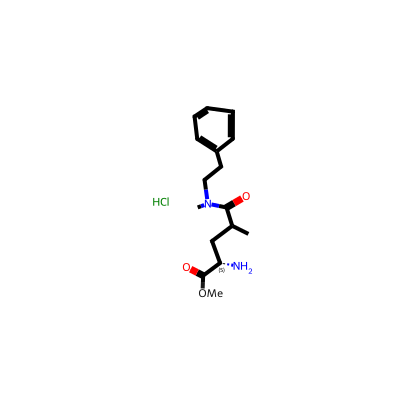 COC(=O)[C@@H](N)CC(C)C(=O)N(C)CCc1ccccc1.Cl